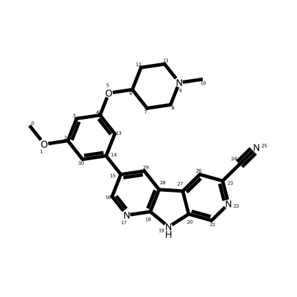 COc1cc(OC2CCN(C)CC2)cc(-c2cnc3[nH]c4cnc(C#N)cc4c3c2)c1